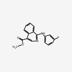 COC(=O)c1cnc(Nc2cccc(F)c2)c2ccccc12